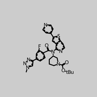 Cn1cc(-c2ccc(C(=O)N(c3nccc4sc(-c5ccncc5)cc34)[C@@H]3CCCN(C(=O)OC(C)(C)C)C3)c(F)c2)nn1